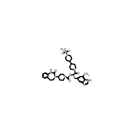 Cc1cc(C[C@@H](OC(=O)N2CCC(N3CCc4ccccc4NC3=O)CC2)C(=O)N2CCC(C3CCN(S(C)(=O)=O)CC3)CC2)cc2nc[nH]c12